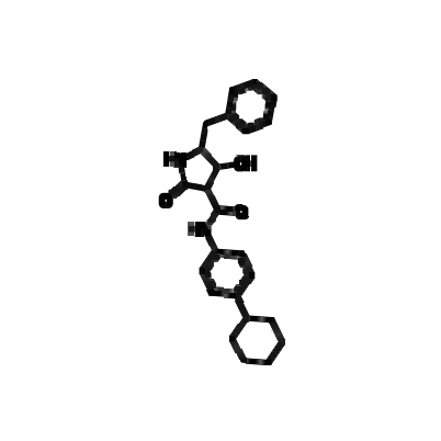 O=C(Nc1ccc(C2CCCCC2)cc1)C1C(=O)NC(Cc2ccccc2)C1O